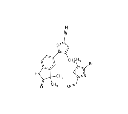 Cc1cc(C#N)sc1-c1ccc2c(c1)C(C)(C)C(=O)N2.Cc1cc(C=O)sc1Br